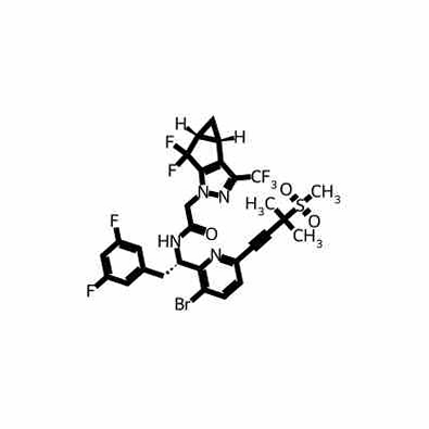 CC(C)(C#Cc1ccc(Br)c([C@H](Cc2cc(F)cc(F)c2)NC(=O)Cn2nc(C(F)(F)F)c3c2C(F)(F)[C@@H]2C[C@H]32)n1)S(C)(=O)=O